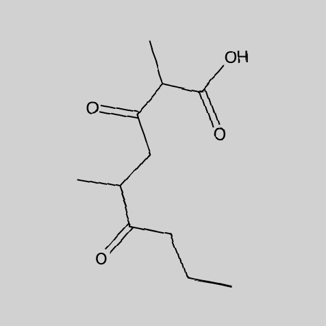 CCCC(=O)C(C)CC(=O)C(C)C(=O)O